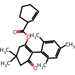 Cc1cc(C)c(C2=C(OC(=O)C3C=CCCC3)CC(C)(C)CC2=O)c(C)c1